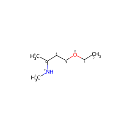 CCOCCC(C)NC